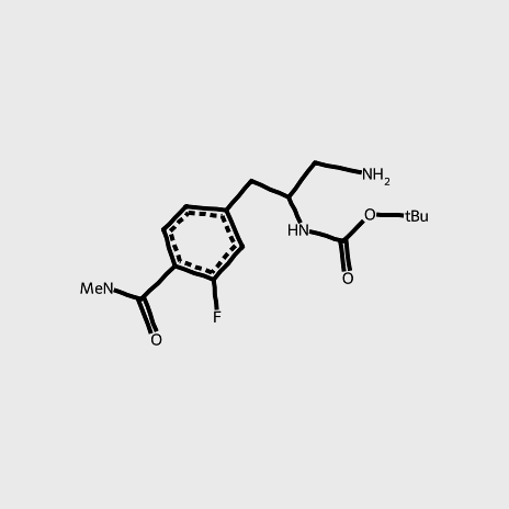 CNC(=O)c1ccc(CC(CN)NC(=O)OC(C)(C)C)cc1F